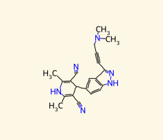 CC1=C(C#N)C(c2ccc3[nH]nc(C#CCN(C)C)c3c2)C(C#N)=C(C)N1